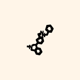 CN1Cc2ccccc2C(c2ccc3c(cnn3Cc3ccccc3)c2)C1